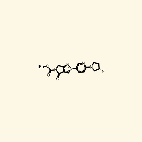 CC(C)(C)OC(=O)N1Cc2nn(-c3ccc(N4CC[C@H](F)C4)nc3)cc2C1=O